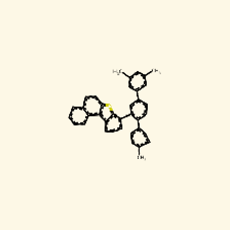 Cc1ccc(-c2ccc(-c3cc(C)cc(C)c3)cc2-c2cccc3c2sc2ccc4ccccc4c23)cc1